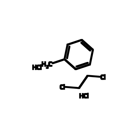 Cc1ccccc1.Cl.Cl.ClCCCl